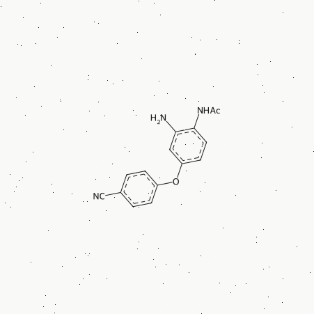 CC(=O)Nc1ccc(Oc2ccc(C#N)cc2)cc1N